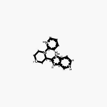 c1ccc(N2CCOCC2c2nc3cnccc3[nH]2)nc1